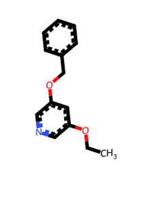 CCOc1cncc(OCc2ccccc2)c1